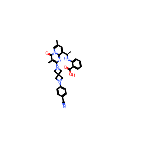 Cc1cc([C@@H](C)Nc2ccccc2C(=O)O)c2nc(N3CC4(CN(c5ccc(C#N)cc5)C4)C3)c(C)c(=O)n2c1